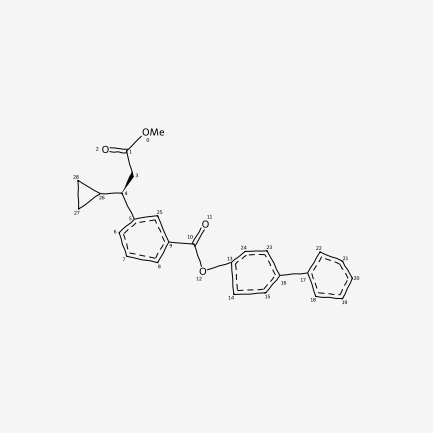 COC(=O)C[C@@H](c1cccc(C(=O)Oc2ccc(-c3ccccc3)cc2)c1)C1CC1